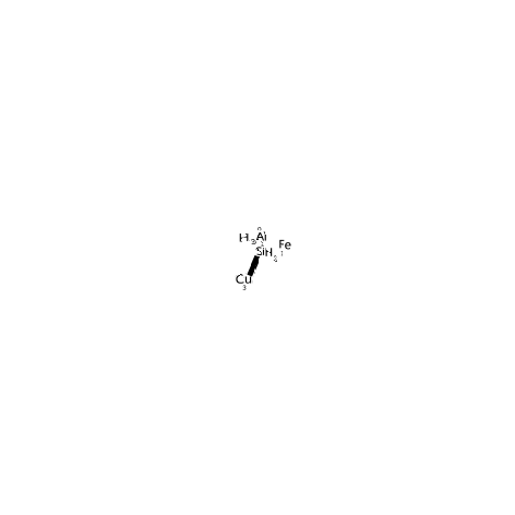 [AlH3].[Fe].[SiH3][Cu]